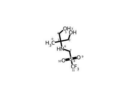 CC(CO)(CO)NCS(=O)(=O)C(F)(F)F